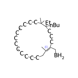 BC/C1=C(/C)CCCCCCCCCCCCCC(C)(C)C(CC)(CCCC)CCC1